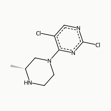 C[C@@H]1CN(c2nc(Cl)ncc2Cl)CCN1